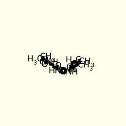 CC(C)(C)OC(=O)NCCCC(=O)Nc1ccc(Nc2nc3cc(C(C)(C)C)ccc3o2)cc1